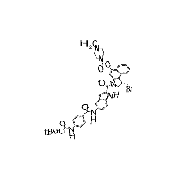 CN1CCN(C(=O)Oc2cc3c(c4ccccc24)[C@H](CBr)CN3C(=O)c2cc3cc(NC(=O)c4ccc(NC(=O)OC(C)(C)C)cc4)ccc3[nH]2)CC1